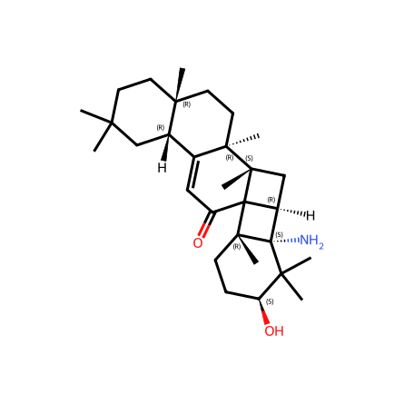 CC1(C)CC[C@]2(C)CC[C@]3(C)C(=CC(=O)C45[C@@H](C[C@]43C)[C@@]3(N)C(C)(C)[C@@H](O)CC[C@]53C)[C@@H]2C1